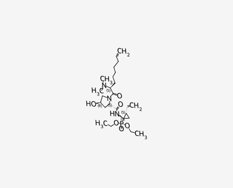 C=CCCCCC[C@@H](C(=O)N1C[C@H](O)C[C@H]1C(=O)N[C@]1(P(=O)(OCC)OCC)C[C@H]1C=C)N(C)C